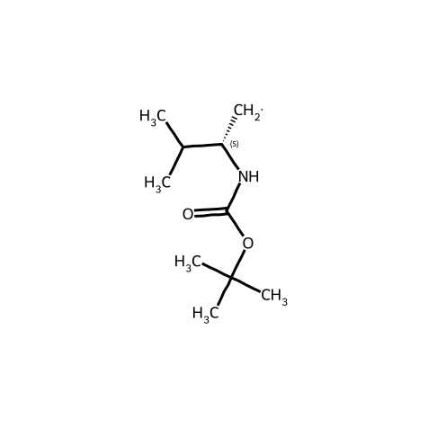 [CH2][C@H](NC(=O)OC(C)(C)C)C(C)C